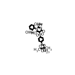 CCCc1nc(=O)c(S(=O)(=O)c2ccc(B3OC(C)(C)C(C)(C)O3)cc2)c(O)n1-c1c(OC)cccc1OC